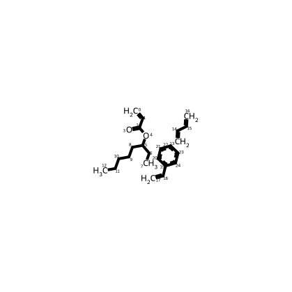 C=CC(=O)OC(CC)CCCCC.C=CC=C.C=Cc1ccccc1